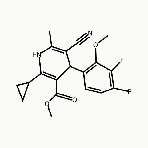 COC(=O)C1=C(C2CC2)NC(C)=C(C#N)C1c1ccc(F)c(F)c1OC